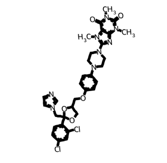 Cn1c(=O)c2c(nc(N3CCN(c4ccc(OCC5COC(Cn6ccnc6)(c6ccc(Cl)cc6Cl)O5)cc4)CC3)n2C)n(C)c1=O